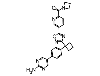 Nc1ncc(-c2ccc(C3(c4noc(-c5ccc(C(=O)N6CCC6)nc5)n4)CCC3)cc2)cn1